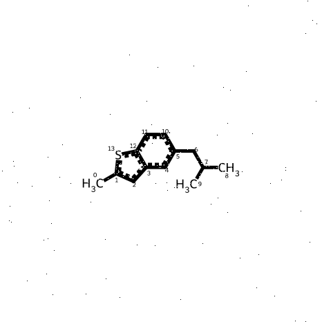 Cc1cc2cc(CC(C)C)ccc2s1